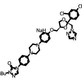 CCC(C)n1ncn(-c2ccc(N3CCN(c4ccc(OC[C@H]5CO[C@](Cn6cncn6)(c6ccc(Cl)cc6Cl)O5)cc4)CC3)cc2)c1=O.[NaH]